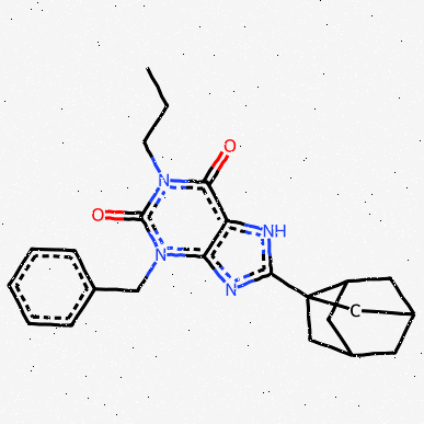 CCCn1c(=O)c2[nH]c(C34CC5CC(CC3C5)C4)nc2n(Cc2ccccc2)c1=O